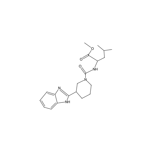 COC(=O)C(CC(C)C)NC(=O)N1CCCC(c2nc3ccccc3[nH]2)C1